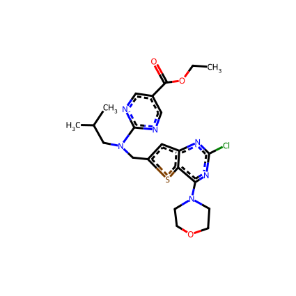 CCOC(=O)c1cnc(N(Cc2cc3nc(Cl)nc(N4CCOCC4)c3s2)CC(C)C)nc1